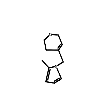 Cc1cccn1CC1=CCOCC1